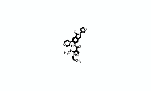 C=Nc1c(C(=O)Nc2cc3c(cc2N2CCOCC2)C(=O)N(C2CCOC2)C3)cnn1/C=C\C